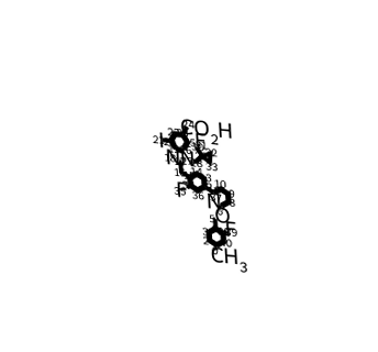 Cc1ccc(COc2cccc(-c3ccc(Cc4nc5c(I)cc(C(=O)O)cc5n4CC4(CF)CC4)c(F)c3)n2)c(F)c1